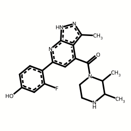 Cc1n[nH]c2nc(-c3ccc(O)cc3F)cc(C(=O)N3CCNC(C)C3C)c12